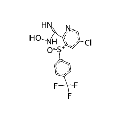 N=C(NO)c1ncc(Cl)cc1[S+]([O-])c1ccc(C(F)(F)F)cc1